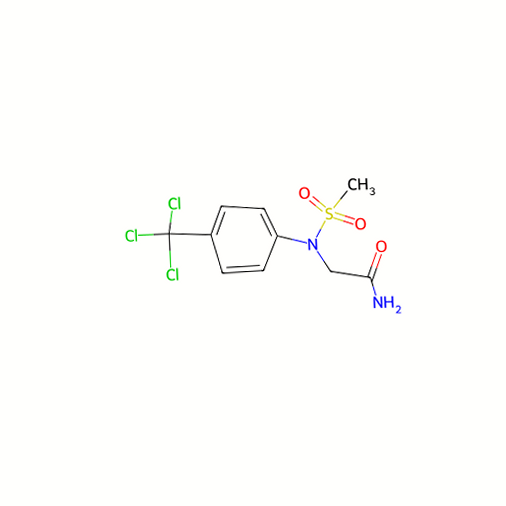 CS(=O)(=O)N(CC(N)=O)c1ccc(C(Cl)(Cl)Cl)cc1